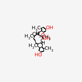 Cc1cc(O)cc2c1C[C@@H]1C[C@@H](O)[C@]3(C)Oc4cc(O)cc(C)c4C[C@@H]3CC(C)(C)/C=C/C[C@@]1(C)C2